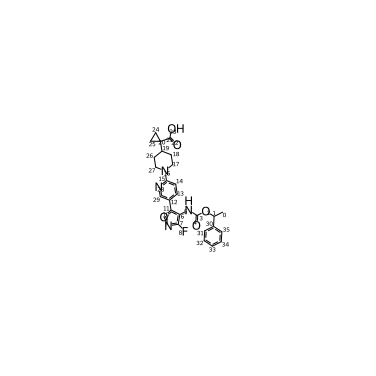 CC(OC(=O)Nc1c(F)noc1-c1ccc(N2CCC(C3(C(=O)O)CC3)CC2)nc1)c1ccccc1